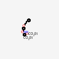 CCOC(=O)COc1cc(C(=O)OCC)ccc1NC(=O)c1ccc(OCCCCc2ccccc2)cc1